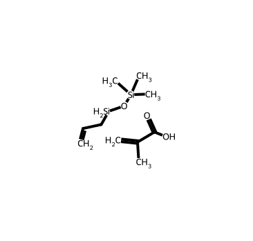 C=C(C)C(=O)O.C=CC[SiH2]O[Si](C)(C)C